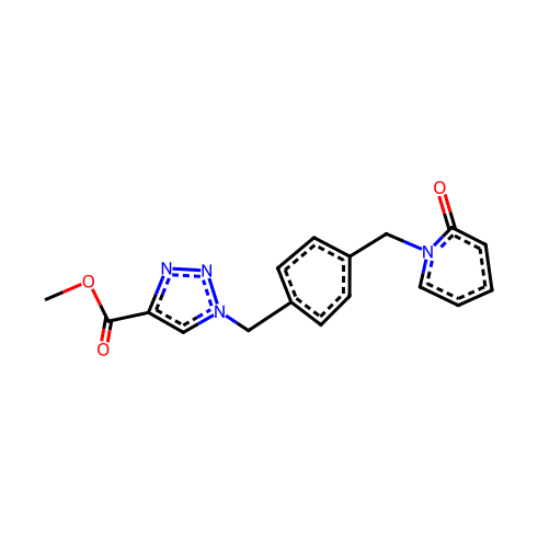 COC(=O)c1cn(Cc2ccc(Cn3ccccc3=O)cc2)nn1